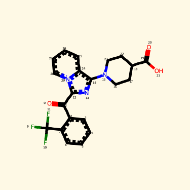 O=C(c1ccccc1C(F)(F)F)c1nc(N2CCC(C(=O)O)CC2)c2ccccn12